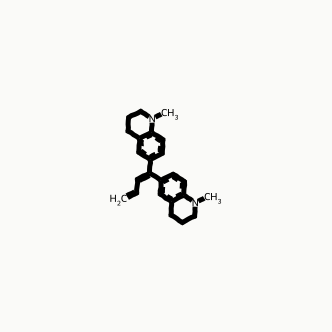 C=CC=C(c1ccc2c(c1)CCCN2C)c1ccc2c(c1)CCCN2C